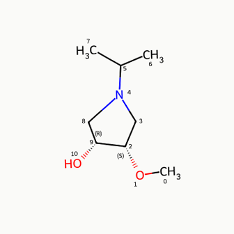 CO[C@H]1CN(C(C)C)C[C@H]1O